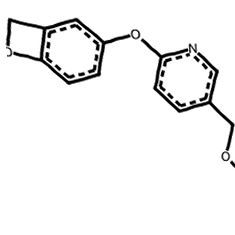 FOCc1ccc(Oc2ccc3c(c2)CO3)nc1